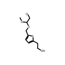 COC(CCl)OCc1ccc(CCO)s1